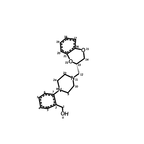 OCc1ccccc1N1CCN(C[C@H]2COc3ccccc3O2)CC1